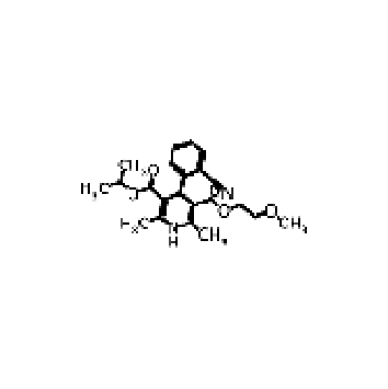 COCCOC(=O)C1=C(C)NC(C)=C(C(=O)OC(C)C)C1c1ccccc1C#N